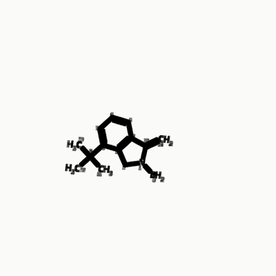 BN1Cc2c(cccc2C(C)(C)C)C1=C